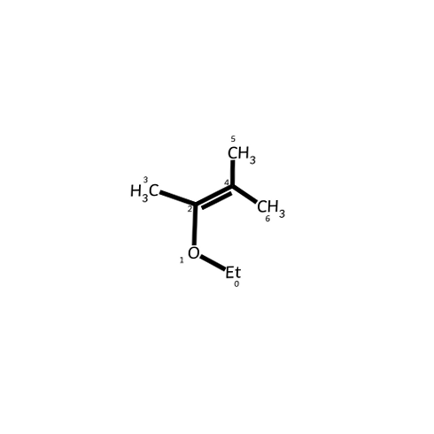 CCOC(C)=C(C)C